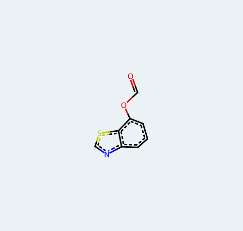 O=COc1cccc2ncsc12